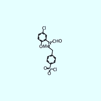 COc1ccc(Cl)cc1N(C=O)CCc1ccc(S(=O)(=O)Cl)cc1